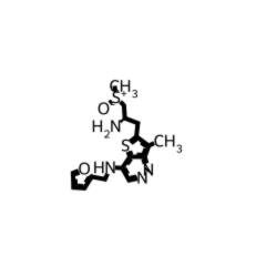 Cc1c(C[C@@H](N)C[S+](C)[O-])sc2c(NCc3ccco3)cnnc12